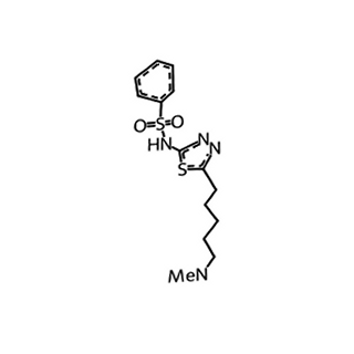 CNCCCCCc1nnc(NS(=O)(=O)c2ccccc2)s1